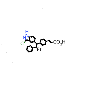 CCC(=C(c1ccc(C=CC(=O)O)cc1)c1ccc2[nH]nc(Cl)c2c1)c1ccccc1